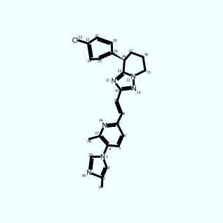 Cc1cn(-c2ccc(/C=C/c3nc4n(n3)CCC[C@@H]4c3ccc(Cl)cc3)nc2C)cn1